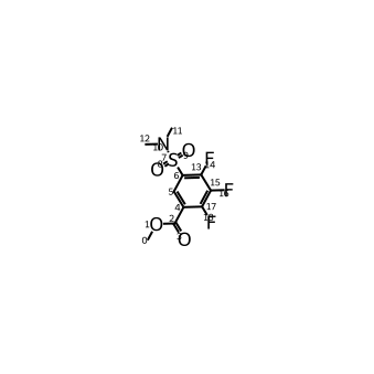 COC(=O)c1cc(S(=O)(=O)N(C)C)c(F)c(F)c1F